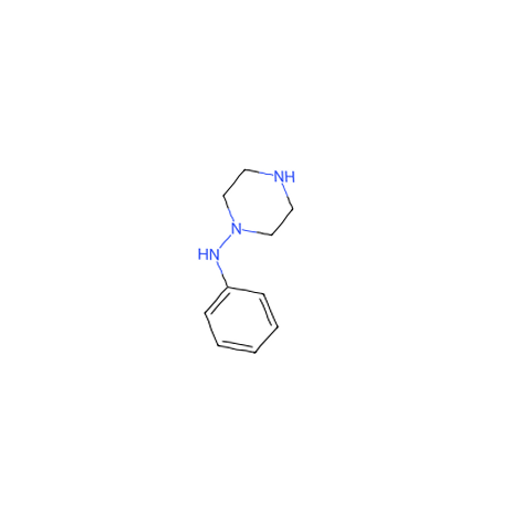 c1ccc(NN2CCNCC2)cc1